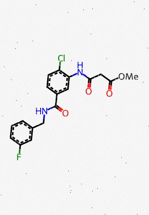 COC(=O)CC(=O)Nc1cc(C(=O)NCc2cccc(F)c2)ccc1Cl